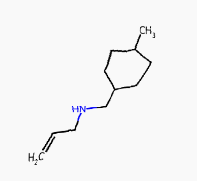 C=CCNCC1CCC(C)CC1